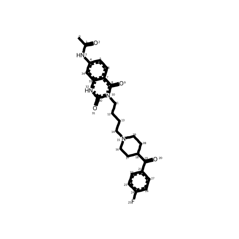 CC(=O)Nc1ccc2c(=O)n(CCCCN3CCC(C(=O)c4ccc(F)cc4)CC3)c(=O)[nH]c2c1